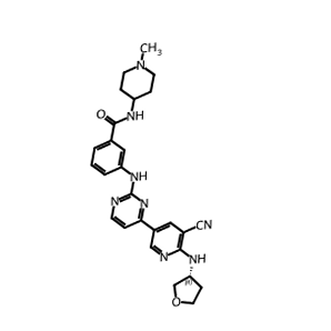 CN1CCC(NC(=O)c2cccc(Nc3nccc(-c4cnc(N[C@@H]5CCOC5)c(C#N)c4)n3)c2)CC1